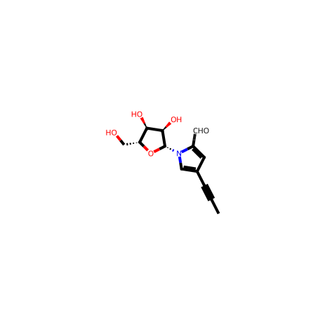 CC#Cc1cc(C=O)n([C@@H]2O[C@H](CO)[C@@H](O)[C@H]2O)c1